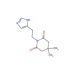 CC1(C)CC(=O)N(CCc2cnc[nH]2)C(=O)C1